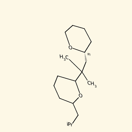 CC(C)CC1CCCC(C(C)(C)C[C@H]2CCCCO2)O1